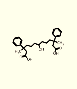 CC(CCCC(O)CCCC(C)(CC(=O)O)c1ccccc1)(CC(=O)O)c1ccccc1